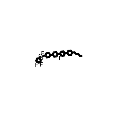 CCCCCC1CCC(c2ccc(C3CCC(C4CCC(C(F)(F)Oc5ccc(F)c(F)c5)CC4)CC3)c(F)c2)CC1